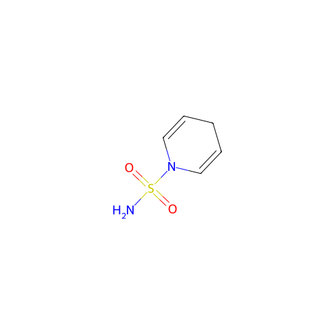 NS(=O)(=O)N1C=CCC=C1